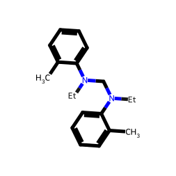 CCN(CN(CC)c1ccccc1C)c1ccccc1C